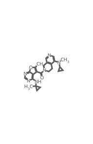 Cc1oc2ncnc(NC3(C)CC3)c2c1C(=O)N1CCc2c(cncc2N(C)C2CC2)C1